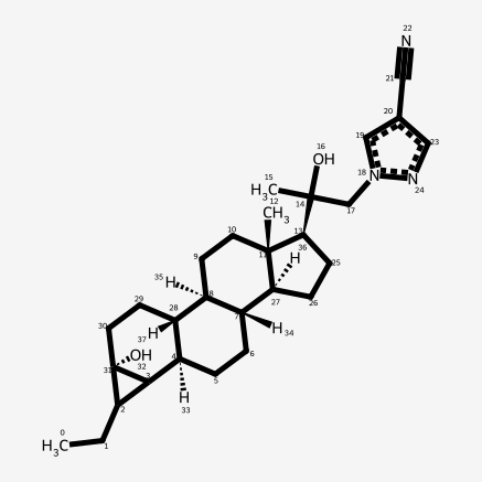 CCC1C2[C@@H]3CC[C@@H]4[C@H](CC[C@]5(C)[C@@H](C(C)(O)Cn6cc(C#N)cn6)CC[C@@H]45)[C@H]3CC[C@]12O